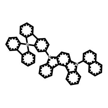 c1ccc2c(c1)-c1ccccc1[Si]21c2ccccc2-c2ccc(-n3c4ccccc4c4c5c6ccccc6n(-c6cccc7ccccc67)c5ccc43)cc21